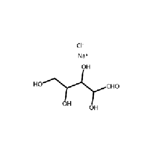 O=CC(O)C(O)C(O)CO.[Cl-].[Na+]